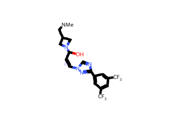 CNCC1CN(C(O)/C=C\n2cnc(-c3cc(C(F)(F)F)cc(C(F)(F)F)c3)n2)C1